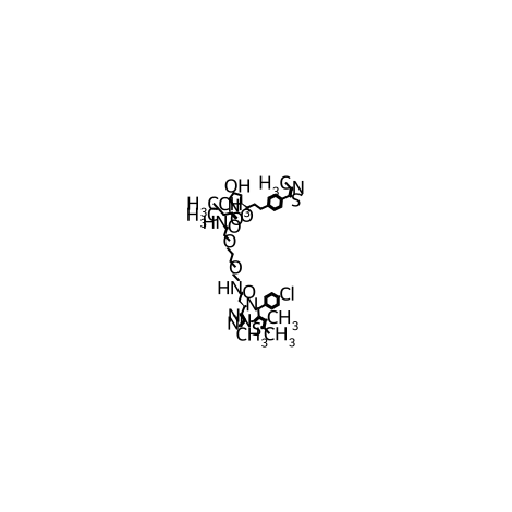 Cc1ncsc1-c1ccc(CCC(=O)[C@@H]2C[C@@H](O)CN2C(=O)[C@@H](NC(=O)COCCCOCCNC(=O)C[C@H]2N=C(c3ccc(Cl)cc3)c3c(sc(C)c3C)-n3c(C)nnc32)C(C)(C)C)cc1